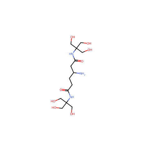 NC(CCC(=O)NC(CO)(CO)CO)CC(=O)NC(CO)(CO)CO